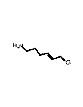 NCCCC=CCCl